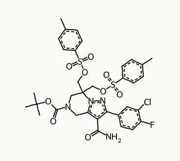 Cc1ccc(S(=O)(=O)OCC2(COS(=O)(=O)c3ccc(C)cc3)CN(C(=O)OC(C)(C)C)Cc3c(C(N)=O)c(-c4ccc(F)c(Cl)c4)nn32)cc1